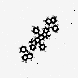 CC1(C)c2cc(N(c3ccccc3)c3cccc4ccccc34)ccc2-c2c1cc1c(-c3ccc(F)cc3)c3c(cc1c2-c1ccc(F)cc1)C(C)(C)c1cc(N(c2ccccc2)c2cccc4ccccc24)ccc1-3